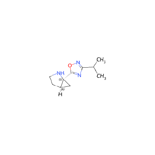 CC(C)c1noc([C@]23C[C@H]2CCN3)n1